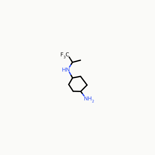 CC(NC1CCC(N)CC1)C(F)(F)F